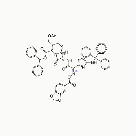 CC(=O)OCC1=C(C(=O)OC(c2ccccc2)c2ccccc2)N2C(=O)[C@@H](NC(=O)/C(=N\OC(=O)c3ccc4c(c3)OCO4)c3csc(NC(c4ccccc4)(c4ccccc4)c4ccccc4)n3)[C@H]2SC1